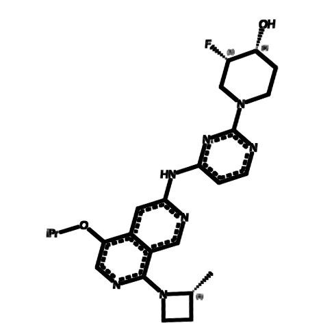 CC(C)Oc1cnc(N2CC[C@H]2C)c2cnc(Nc3ccnc(N4CC[C@@H](O)[C@@H](F)C4)n3)cc12